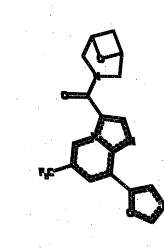 O=C(c1cnc2c(-c3cnco3)cc(C(F)(F)F)cn12)N1CC2CC(C1)O2